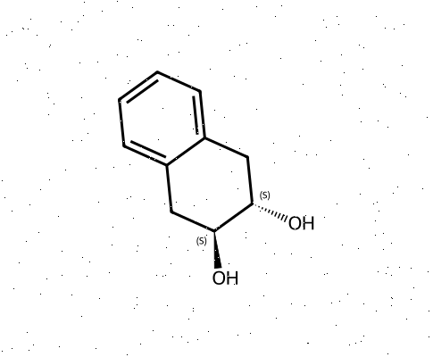 O[C@H]1Cc2ccccc2C[C@@H]1O